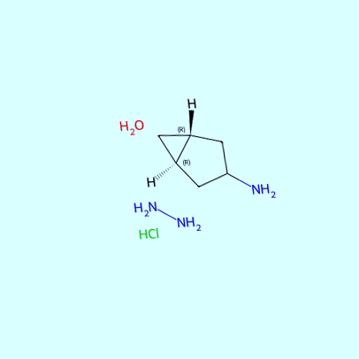 Cl.NC1C[C@H]2C[C@@H]2C1.NN.O